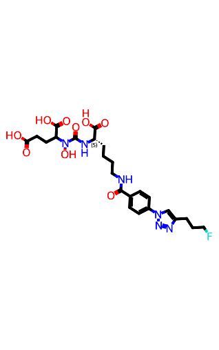 O=C(O)CCC(C(=O)O)N(O)C(=O)N[C@@H](CCCCNC(=O)c1ccc(-n2cc(CCCF)nn2)cc1)C(=O)O